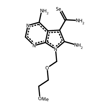 COCCOCn1c(N)c(C(N)=[Se])c2c(N)ncnc21